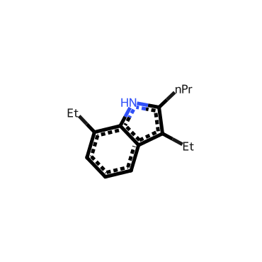 CCCc1[nH]c2c(CC)cccc2c1CC